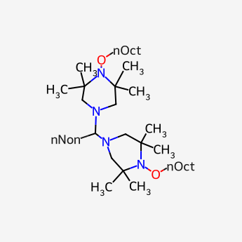 CCCCCCCCCC(N1CC(C)(C)N(OCCCCCCCC)C(C)(C)C1)N1CC(C)(C)N(OCCCCCCCC)C(C)(C)C1